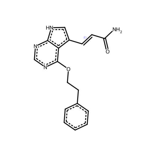 NC(=O)/C=C/c1c[nH]c2ncnc(OCCc3ccccc3)c12